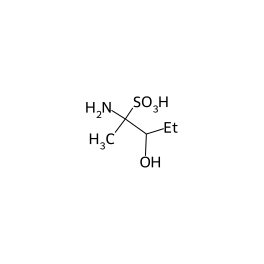 CCC(O)C(C)(N)S(=O)(=O)O